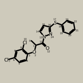 CC(Oc1ccc(Cl)cc1Cl)C(=O)n1ccc(Sc2ccccc2)n1